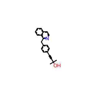 CC(C)(O)C#Cc1ccc(Cc2nccc3ccccc23)cc1